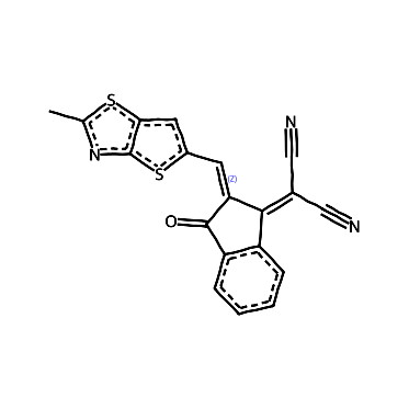 Cc1nc2sc(/C=C3\C(=O)c4ccccc4C3=C(C#N)C#N)cc2s1